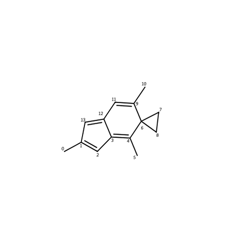 CC1=CC2=C(C)C3(CC3)C(C)=CC2=C1